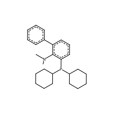 CN(C)c1c(-c2ccccc2)cccc1P(C1CCCCC1)C1CCCCC1